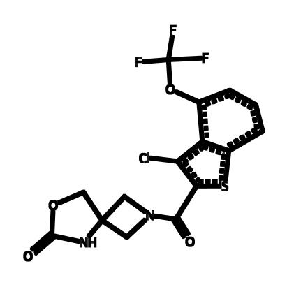 O=C1NC2(CO1)CN(C(=O)c1sc3cccc(OC(F)(F)F)c3c1Cl)C2